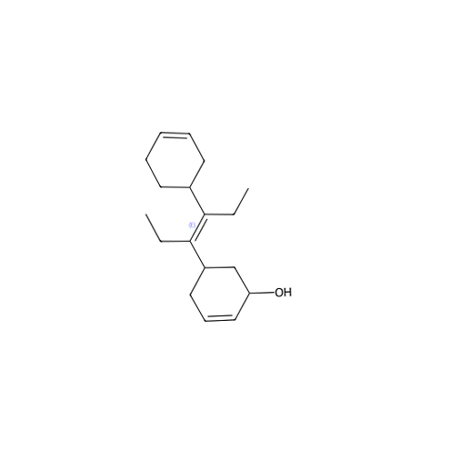 CC/C(=C(/CC)C1CC=CC(O)C1)C1CC=CCC1